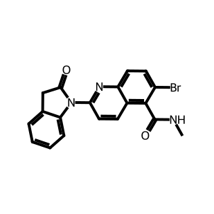 CNC(=O)c1c(Br)ccc2nc(N3C(=O)Cc4ccccc43)ccc12